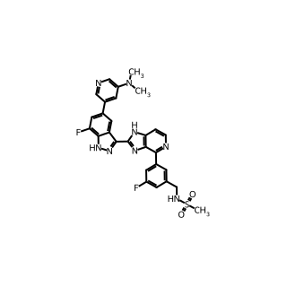 CN(C)c1cncc(-c2cc(F)c3[nH]nc(-c4nc5c(-c6cc(F)cc(CNS(C)(=O)=O)c6)nccc5[nH]4)c3c2)c1